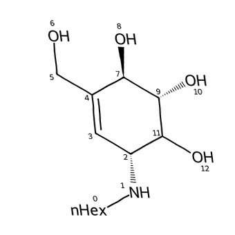 CCCCCCN[C@@H]1C=C(CO)[C@@H](O)[C@H](O)C1O